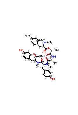 CC[C@H](C)[C@@H](OC(=O)[C@@H](Cc1ccc(OC)cc1)N(C)C)C(=O)N[C@@H](C(=O)N(C)[C@@H](Cc1ccc(O)cc1)C(=O)N(C)[C@H](Cc1ccc(O)cc1)C(=O)OC)C(C)C